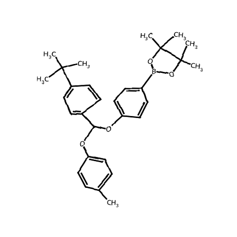 Cc1ccc(OC(Oc2ccc(B3OC(C)(C)C(C)(C)O3)cc2)c2ccc(C(C)(C)C)cc2)cc1